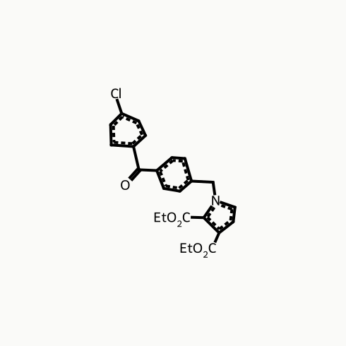 CCOC(=O)c1ccn(Cc2ccc(C(=O)c3ccc(Cl)cc3)cc2)c1C(=O)OCC